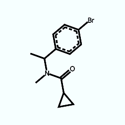 CC(c1ccc(Br)cc1)N(C)C(=O)C1CC1